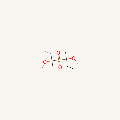 CCC(C)(OC)S(=O)(=O)C(C)(CC)OC